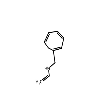 C=CNCC1=CC=CC=CC1